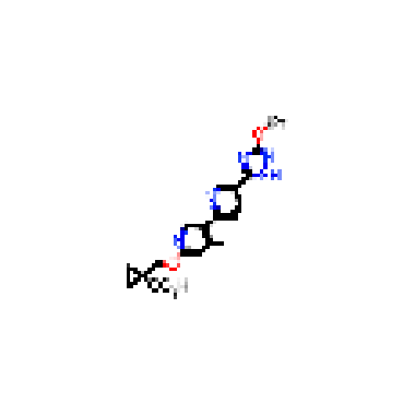 Cc1cc(OCC2(C(=O)O)CC2)ncc1-c1ccc(-c2nc(OC(C)C)n[nH]2)cn1